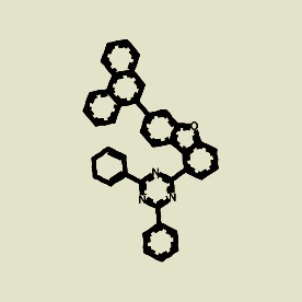 C1=CC(c2nc(-c3ccccc3)nc(-c3cccc4oc5cc(-c6cc7ccccc7c7ccccc67)ccc5c34)n2)=CCC1